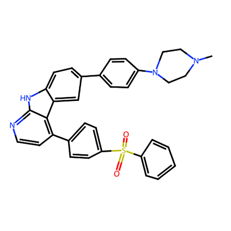 CN1CCN(c2ccc(-c3ccc4[nH]c5nccc(-c6ccc(S(=O)(=O)c7ccccc7)cc6)c5c4c3)cc2)CC1